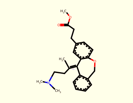 COC(=O)CCc1ccc2c(c1)/C(=C(\C)CCN(C)C)c1ccccc1CO2